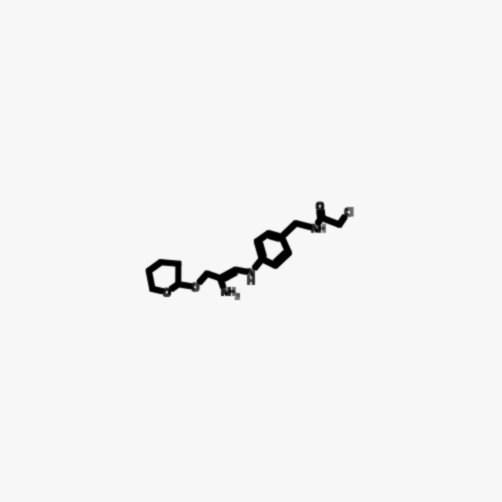 N/C(=C\Nc1ccc(CNC(=O)CCl)cc1)COC1CCCCO1